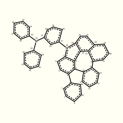 c1ccc(-c2ccc3c4c2-c2ccccc2-c2cccc5ccc(c4c25)n3-c2cccc(N(c3ccccc3)c3ccccc3)c2)cc1